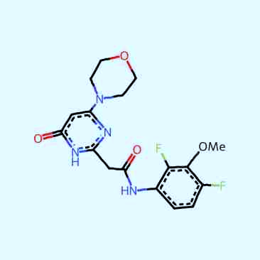 COc1c(F)ccc(NC(=O)Cc2nc(N3CCOCC3)cc(=O)[nH]2)c1F